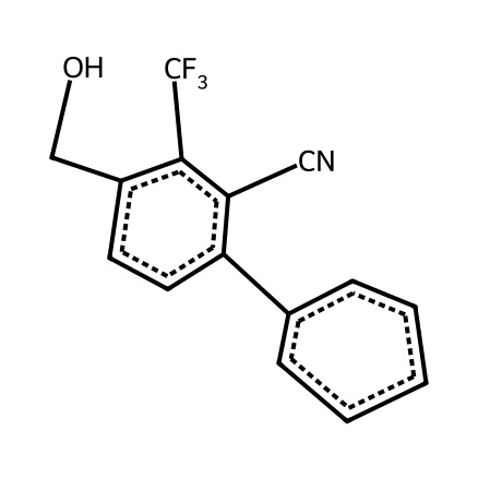 N#Cc1c(-c2ccccc2)ccc(CO)c1C(F)(F)F